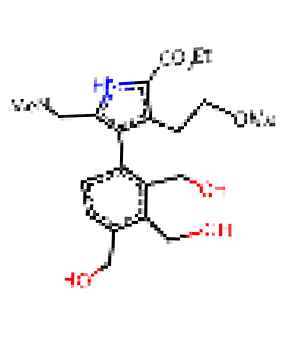 CCOC(=O)c1[nH]c(CNC)c(-c2ccc(CO)c(CO)c2CO)c1CCOC